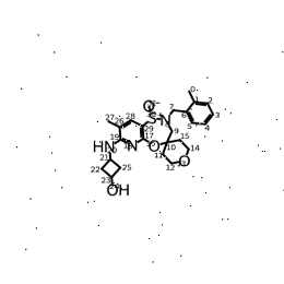 Cc1ccccc1CN1CC2(CCOCC2)Oc2nc(NC3CC(O)C3)c(C)cc2[S+]1[O-]